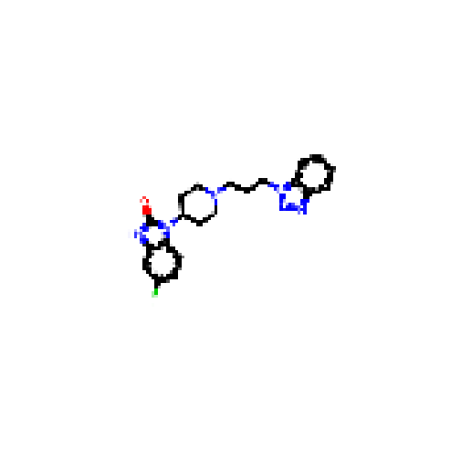 O=c1[nH]c2cc(Cl)ccc2n1C1CCN(CCCn2nnc3ccccc32)CC1